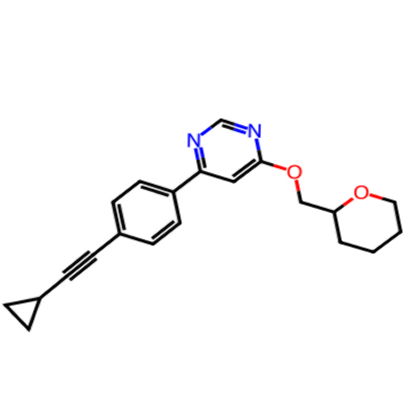 C(#CC1CC1)c1ccc(-c2cc(OCC3CCCCO3)ncn2)cc1